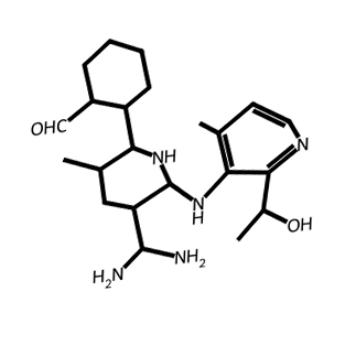 Cc1ccnc(C(C)O)c1NC1NC(C2CCCCC2C=O)C(C)CC1C(N)N